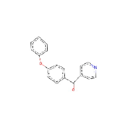 O=C(c1ccncc1)c1ccc(Oc2ccccc2)cc1